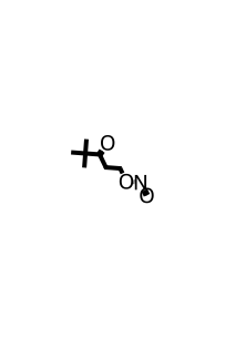 CC(C)(C)C(=O)CCON=O